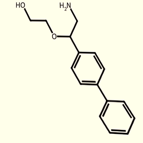 NCC(OCCO)c1ccc(-c2ccccc2)cc1